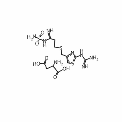 N=C(N)Nc1nc(CSCCC(=N)NS(N)(=O)=O)cs1.NC(CC(=O)O)C(=O)O